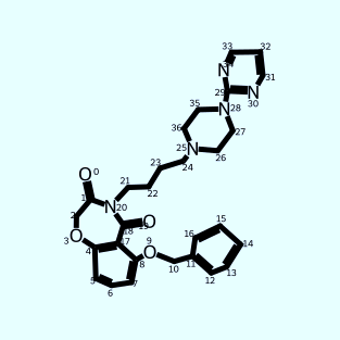 O=C1COc2cccc(OCc3ccccc3)c2C(=O)N1CCCCN1CCN(c2ncccn2)CC1